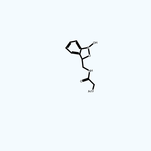 CC(=O)OCC(=O)NCC1OB(O)c2ccccc21